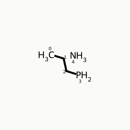 CCCP.N